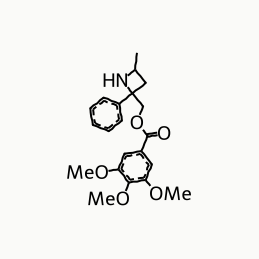 COc1cc(C(=O)OCC2(c3ccccc3)CC(C)N2)cc(OC)c1OC